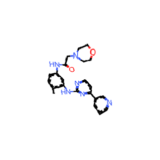 Cc1ccc(NC(=O)CN2CCOCC2)cc1Nc1nccc(-c2cccnc2)n1